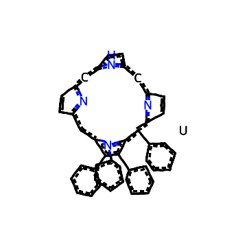 C1=Cc2cc3c(-c4ccccc4)c(-c4ccccc4)c(c(-c4ccccc4)c4nc(cc5ccc(cc1n2)[nH]5)C=C4)n3-c1ccccc1.[U]